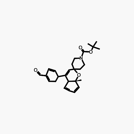 CC(C)(C)OC(=O)N1CCC2(C=C(C3C=CC(C=O)=CC3)C3C=CC=C[C@@]3(C)O2)CC1